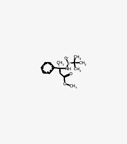 COC(=O)C[C@](C)(N[S+]([O-])C(C)(C)C)c1ccccc1